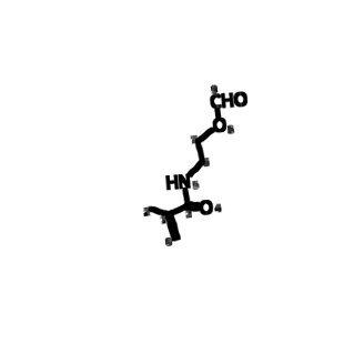 C=C(C)C(=O)NCCOC=O